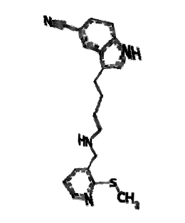 CSc1ncccc1CNCCCCc1c[nH]c2ccc(C#N)cc12